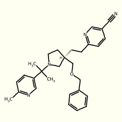 Cc1ccc(C(C)(C)N2CC[C@@](CCc3ccc(C#N)cn3)(COCc3ccccc3)C2)cn1